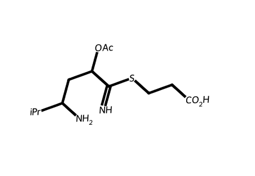 CC(=O)OC(CC(N)C(C)C)C(=N)SCCC(=O)O